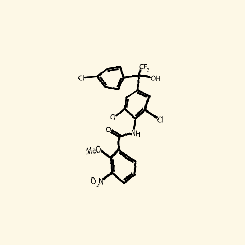 COc1c(C(=O)Nc2c(Cl)cc(C(O)(c3ccc(Cl)cc3)C(F)(F)F)cc2Cl)cccc1[N+](=O)[O-]